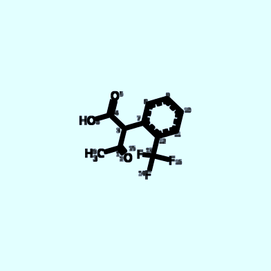 CC(=O)C(C(=O)O)c1ccccc1C(F)(F)F